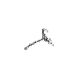 COCOc1ccc2c(c1)CC(CCCCOCCOCCOCCOCCOCc1ccccc1)C1C2CCC2(C)[C@@H](OCOC)CC[C@@H]12